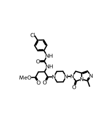 COC(=O)CC(NC(=O)Nc1ccc(Cl)cc1)C(=O)N1CCN(N2Cc3cnc(C)n3C2=O)CC1